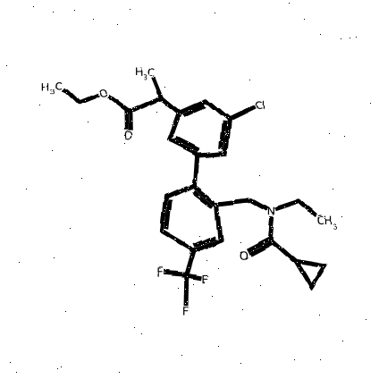 CCOC(=O)C(C)c1cc(Cl)cc(-c2ccc(C(F)(F)F)cc2CN(CC)C(=O)C2CC2)c1